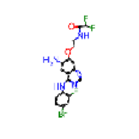 Nc1cc2c(Nc3ccc(Br)cc3F)ncnc2cc1OCCNC(=O)C(F)F